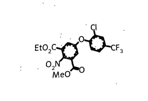 CCOC(=O)c1cc(Oc2ccc(C(F)(F)F)cc2Cl)cc(C(=O)OC)c1[N+](=O)[O-]